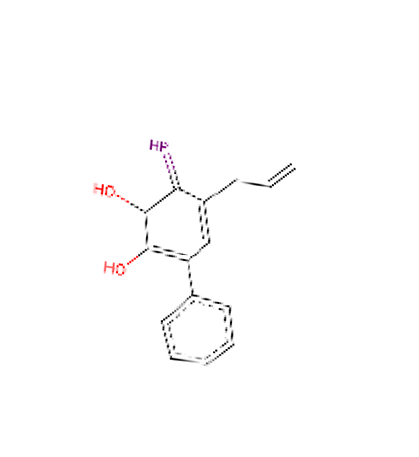 C=CCC1=CC(c2ccccc2)=C(O)C(O)C1=P